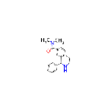 CN(C)C(=O)c1ccc2c(c1)C(c1ccccc1)NCC2